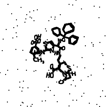 Cc1ccc(S(=O)(=O)O)cc1.Nc1nc(/C(=N/OC(c2ccccc2)(c2ccccc2)c2ccccc2)C(=O)NC=CC2=C(C(=O)O)N3C(=O)C[C@@H]3SC2)cs1